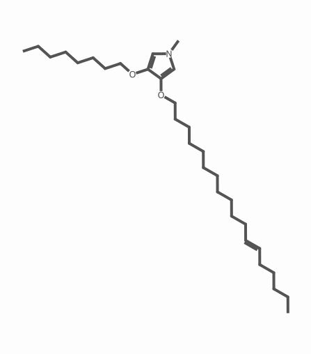 CCCCC/C=C/CCCCCCCCCCCOc1cn(C)cc1OCCCCCCCC